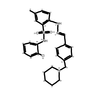 Cc1ccc(N/N=C/c2ccc(CN3CCCCC3)cc2)c(S(=O)(=O)Nc2ccccc2Cl)c1